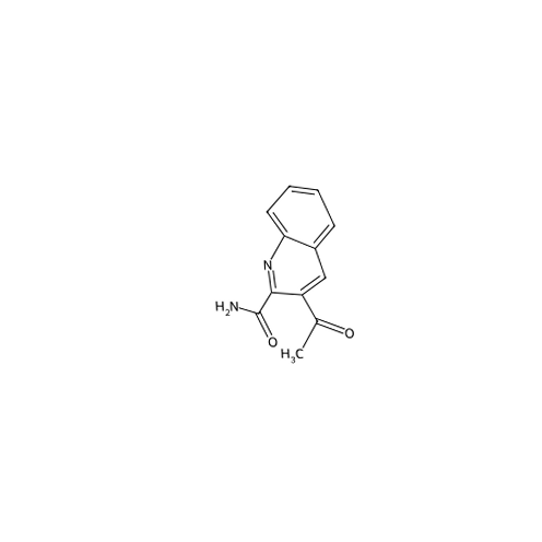 CC(=O)c1cc2ccccc2nc1C(N)=O